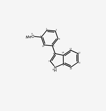 COc1cccc(-c2c[nH]c3ccccc23)c1